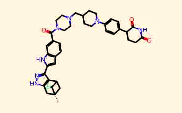 C[C@@]12Cc3[nH]nc(-c4cc5ccc(C(=O)N6CCN(CC7CCN(c8ccc(C9CCC(=O)NC9=O)cc8)CC7)CC6)cc5[nH]4)c3C(C1)C2(F)F